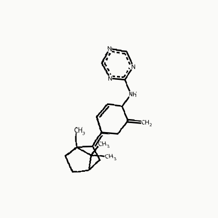 C=C1CC(=C2CC3CCC2(C)C3(C)C)C=CC1Nc1ncncn1